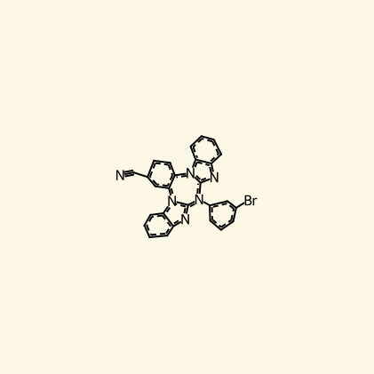 N#Cc1ccc2c(c1)n1c3ccccc3nc1n(-c1cccc(Br)c1)c1nc3ccccc3n21